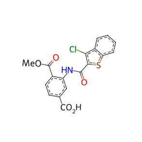 COC(=O)c1ccc(C(=O)O)cc1NC(=O)c1sc2ccccc2c1Cl